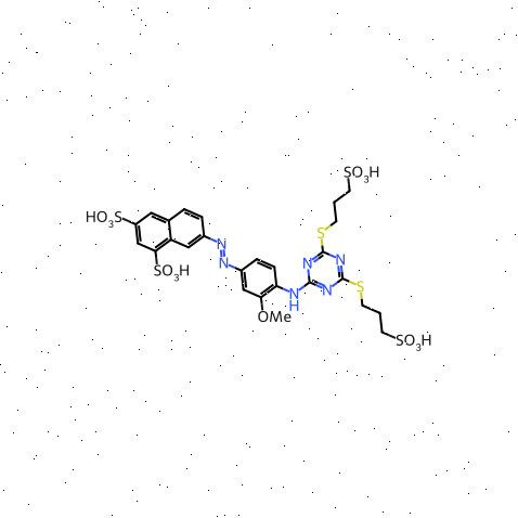 COc1cc(N=Nc2ccc3cc(S(=O)(=O)O)cc(S(=O)(=O)O)c3c2)ccc1Nc1nc(SCCCS(=O)(=O)O)nc(SCCCS(=O)(=O)O)n1